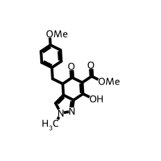 COC(=O)C1=C(O)c2nn(C)cc2C(Cc2ccc(OC)cc2)C1=O